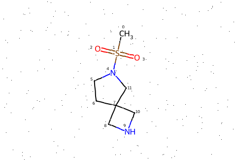 CS(=O)(=O)N1CCC2(CNC2)C1